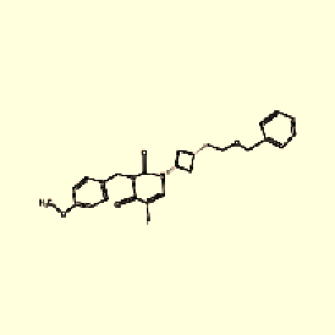 COc1ccc(Cn2c(=O)c(F)cn([C@H]3C[C@@H](CCOCc4ccccc4)C3)c2=O)cc1